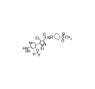 CCCNc1cc(OC(F)F)c(-c2c(Cl)c(C(=O)NCC3CCC(S(C)(=O)=O)CC3)nn2CC)cn1